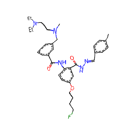 CCN(CC)CCN(C)Cc1cccc(C(=O)Nc2ccc(OCCCCF)cc2C(=O)N/N=C/c2ccc(C)cc2)c1